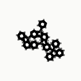 c1ccc(-n2c3ccc(-n4c5ccccc5c5ccccc54)cc3c3c2ccc2c4cc(C5(c6ccccc6)c6ccccc6-c6ccccc65)ccc4n(-c4ccccc4)c23)cc1